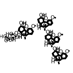 COc1ccc2c3c1O[C@H]1[C@@H](O)C=C[C@H]4[C@@H](C2)N(C)CC[C@@]341.COc1ccc2c3c1O[C@H]1[C@@H](O)C=C[C@H]4[C@@H](C2)N(C)CC[C@@]341.COc1ccc2c3c1O[C@H]1[C@@H](O)C=C[C@H]4[C@@H](C2)N(C)CC[C@@]341.COc1ccc2c3c1O[C@H]1[C@@H](O)C=C[C@H]4[C@@H](C2)N(C)CC[C@@]341.O=S(=O)(O)O.O=S(=O)(O)O